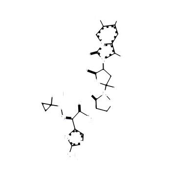 Cc1c2cc(O)c(O)cn2c(=O)n1C1CC(C(=O)O)(N2OC[C@H](NC(=O)/C(=N\OC3(C(=O)O)CC3)c3csc(N)n3)C2=O)OC1=O